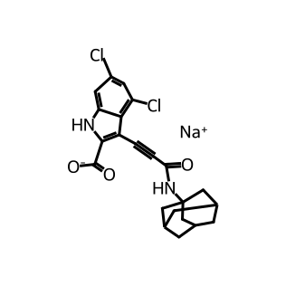 O=C(C#Cc1c(C(=O)[O-])[nH]c2cc(Cl)cc(Cl)c12)NC12CC3CC(CC(C3)C1)C2.[Na+]